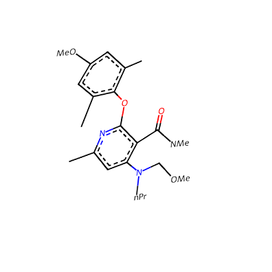 CCCN(COC)c1cc(C)nc(Oc2c(C)cc(OC)cc2C)c1C(=O)NC